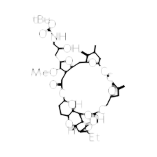 C=C1CC2CC[C@H]3OC4C(CC)OC5C(O3)[C@H]3OC(CCC3O[C@@H]45)CC(=O)CC3C(CC4OC(CCC1O2)CC(C)C4=C)O[C@H](CC(O)CNC(=O)OC(C)(C)C)[C@@H]3OC